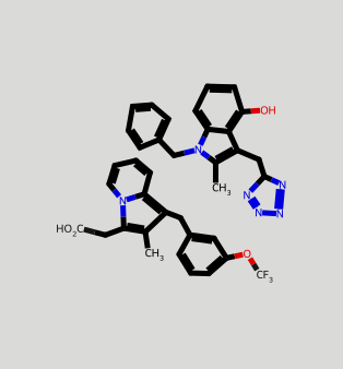 Cc1c(CC2N=NN=N2)c2c(O)cccc2n1Cc1ccccc1.Cc1c(Cc2cccc(OC(F)(F)F)c2)c2ccccn2c1CC(=O)O